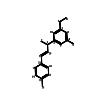 CCc1cc(C)cc(C(C)/C=C/c2ccc(C)cc2)c1